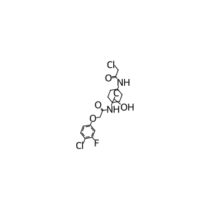 O=C(CCl)NC12CCC(NC(=O)COc3ccc(Cl)c(F)c3)(CC1)C(O)C2